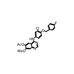 COc1cc2ncnc(Nc3ccc(OCc4ccc(F)cc4)c(Cl)c3)c2cc1OC(C)=O